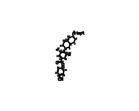 CCCCCCCC1CCC2CC(c3c(F)cc(C(=O)Oc4ccc(C#N)cc4)cc3F)CCC2C1